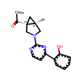 COC(=O)[C@]12C[C@H]1CN(c1nccc(-c3ccccc3O)n1)C2